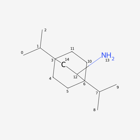 CC(C)C12CCC(C(C)C)(CC1)C(N)C2